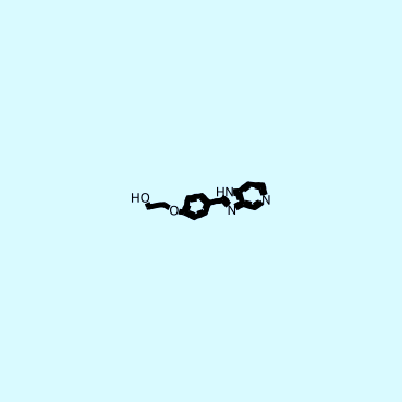 OCCOc1ccc(-c2nc3cnccc3[nH]2)cc1